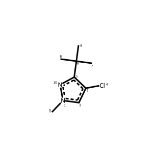 [CH2]n1cc(Cl)c(C(C)(C)C)n1